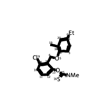 CCc1ccc(OCc2c(Cl)cccc2OC(=S)NC)c(C)c1